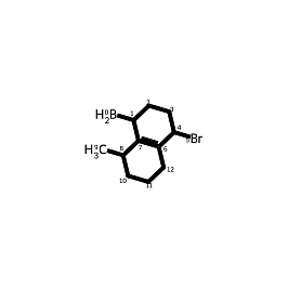 BC1CCC(Br)C2=C1C(C)CCC2